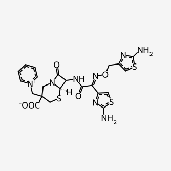 Nc1nc(CON=C(C(=O)NC2C(=O)N3CC(C[n+]4ccccc4)(C(=O)[O-])CS[C@H]23)c2csc(N)n2)cs1